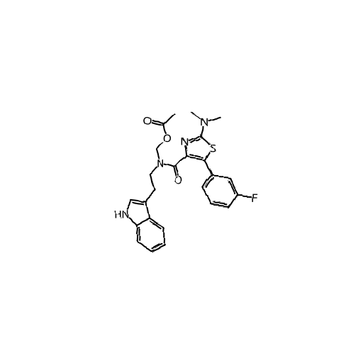 CC(=O)OCN(CCc1c[nH]c2ccccc12)C(=O)c1nc(N(C)C)sc1-c1cccc(F)c1